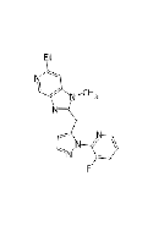 CCc1cc2c(cn1)nc(Cc1ccnn1-c1ncccc1F)n2C